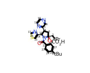 CC(C)C[C@]1(OC(=O)O)C[C@H](c2cnccn2)[C@H](c2cscn2)N1C(=O)c1ccc(C(C)(C)C)cc1